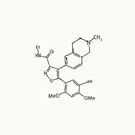 CCNC(=O)c1nsc(-c2cc(C(C)C)c(OC)cc2OC)c1-c1ccc2c(c1)CCN(C)C2